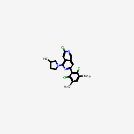 COc1cc(OC)c(Cl)c(-c2cc3cnc(Cl)cc3c(N3CCC(C#N)C3)n2)c1Cl